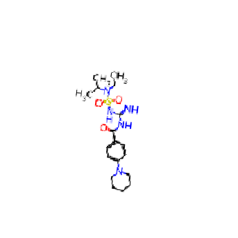 CCN(C(C)C)S(=O)(=O)NC(=N)NC(=O)c1ccc(N2CCCCC2)cc1